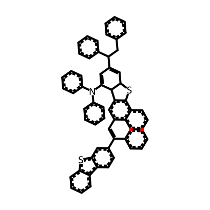 C1=C(C(Cc2ccccc2)c2ccccc2)C=C(N(c2ccccc2)c2ccccc2)C2c3cc(/C=C(\c4ccccc4)c4ccc5c(c4)sc4ccccc45)c4ccccc4c3SC12